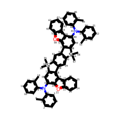 Cc1ccccc1N(c1ccccc1C)c1cc2c(c3c1oc1ccccc13)-c1cc3c(cc1[Si]2(C)C)-c1c(cc(N(c2ccccc2C)c2ccccc2C)c2c1oc1ccccc12)[Si]3(C)C